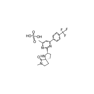 Cc1cc(-c2ccc(C(F)(F)F)cc2)nc([C@H]2CC[C@@]3(CCN(C)C3=O)N2)n1.O=S(=O)(O)O